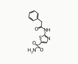 NS(=O)(=O)c1cnc(NC(=O)Cc2ccccc2)s1